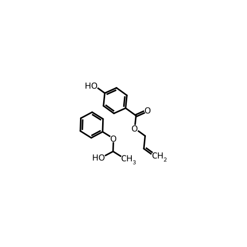 C=CCOC(=O)c1ccc(O)cc1.CC(O)Oc1ccccc1